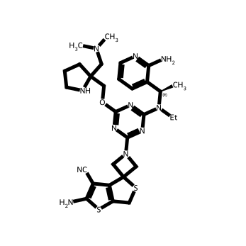 CCN(c1nc(OCC2(CN(C)C)CCCN2)nc(N2CC3(C2)SCc2sc(N)c(C#N)c23)n1)[C@H](C)c1cccnc1N